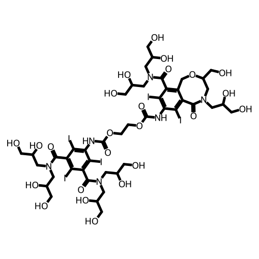 O=C(Nc1c(I)c(C(=O)N(CC(O)CO)CC(O)CO)c(I)c(C(=O)N(CC(O)CO)CC(O)CO)c1I)OCCOC(=O)Nc1c(I)c(C(=O)N(CC(O)CO)CC(O)CO)c2c(c1I)C(=O)N(CC(O)CO)CC(CO)OC2